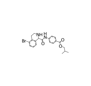 CC(C)COC(=O)c1ccc(NC(=O)C2NCCc3c(Br)cccc32)cc1